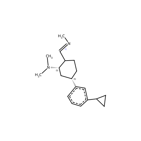 C/N=C/C1CC[C@H](c2cccc(C3CC3)c2)C[C@@H]1N(C)C